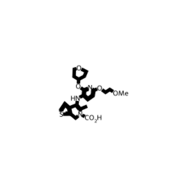 COCCOc1ccc(NC2=C(C)N(C(=O)O)Cc3sccc32)c(OC2CCOCC2)n1